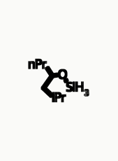 CCCC(CC(C)C)O[SiH3]